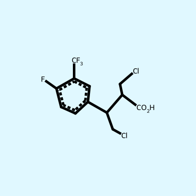 O=C(O)C(CCl)C(CCl)c1ccc(F)c(C(F)(F)F)c1